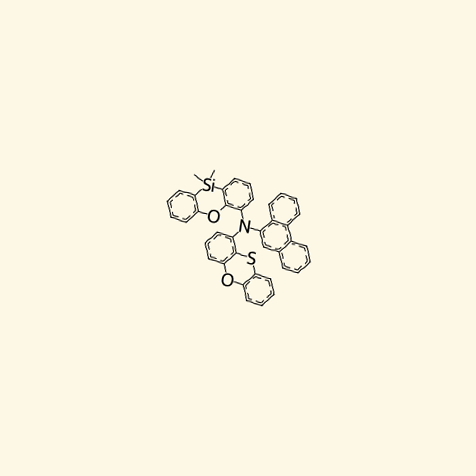 C[Si]1(C)c2ccccc2Oc2c(N(c3cccc4c3Sc3ccccc3O4)c3cc4ccccc4c4ccccc34)cccc21